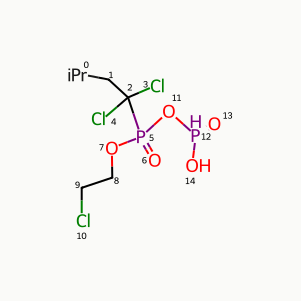 CC(C)CC(Cl)(Cl)P(=O)(OCCCl)O[PH](=O)O